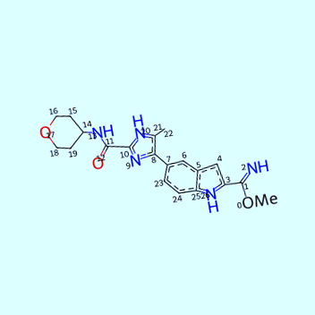 COC(=N)c1cc2cc(-c3nc(C(=O)NC4CCOCC4)[nH]c3C)ccc2[nH]1